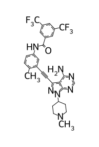 Cc1ccc(NC(=O)c2cc(C(F)(F)F)cc(C(F)(F)F)c2)cc1C#Cc1nn(C2CCN(C)CC2)c2ncnc(N)c12